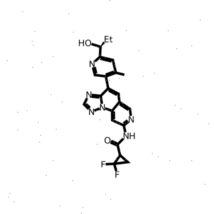 CC[C@H](O)c1cc(C)c(-c2cc3cnc(NC(=O)C4CC4(F)F)cc3n3ncnc23)cn1